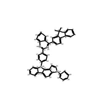 CC1(C)c2ccccc2-c2ccc(-c3nc(-c4ccc(-n5c6ccccc6c6ccc7c(ccn7-c7ccccc7)c65)cc4)nc4ccccc34)cc21